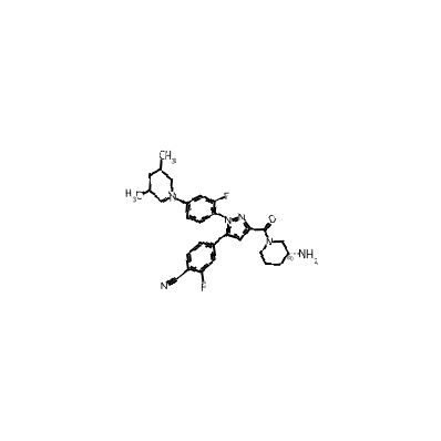 CC1CC(C)CN(c2ccc(-n3nc(C(=O)N4CCC[C@@H](N)C4)cc3-c3ccc(C#N)c(F)c3)c(F)c2)C1